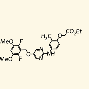 CCOC(=O)COc1ccc(Nc2ncc(OCc3c(F)c(OC)cc(OC)c3F)cn2)cc1C